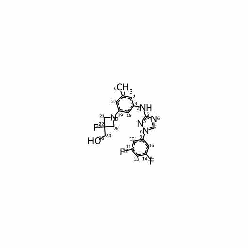 Cc1cc(Nc2ncn(-c3cc(F)cc(F)c3)n2)cc(N2CC(F)(CO)C2)c1